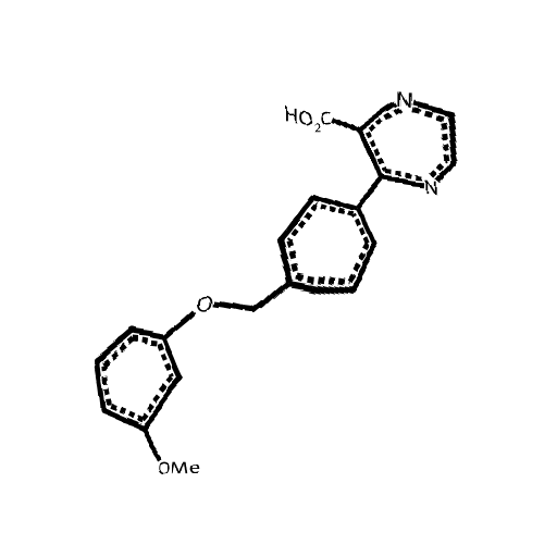 COc1cccc(OCc2ccc(-c3nccnc3C(=O)O)cc2)c1